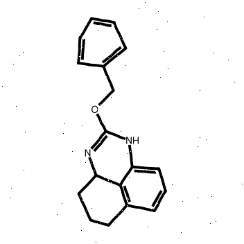 c1ccc(COC2=NC3CCCc4cccc(c43)N2)cc1